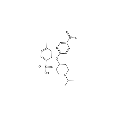 CC(C)N1CCC(Oc2ccc([N+](=O)[O-])cn2)CC1.Cc1ccc(S(=O)(=O)O)cc1